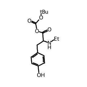 CCNC(Cc1ccc(O)cc1)C(=O)OC(=O)OC(C)(C)C